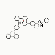 c1ccc(-c2nc3ccc4cc(-c5ccc(N(c6ccc(-c7cc8ccccc8c8ccccc78)cc6)c6ccccc6-c6ccccc6)cc5)ccc4c3o2)cc1